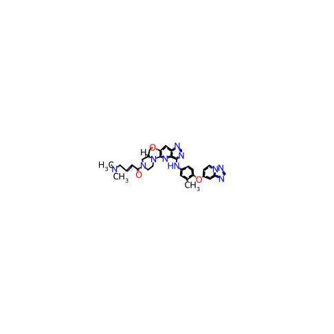 Cc1cc(Nc2ncnc3cc4c(nc23)N2CCN(C(=O)/C=C/CN(C)C)C[C@H]2CO4)ccc1Oc1ccn2ncnc2c1